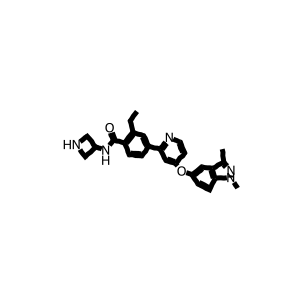 CCc1cc(-c2cc(Oc3ccc4c(c3)c(C)nn4C)ccn2)ccc1C(=O)NC1CNC1